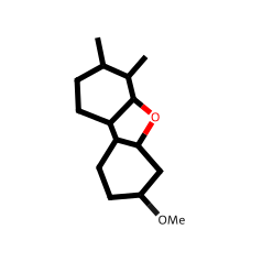 COC1CCC2C(C1)OC1C(C)C(C)CCC21